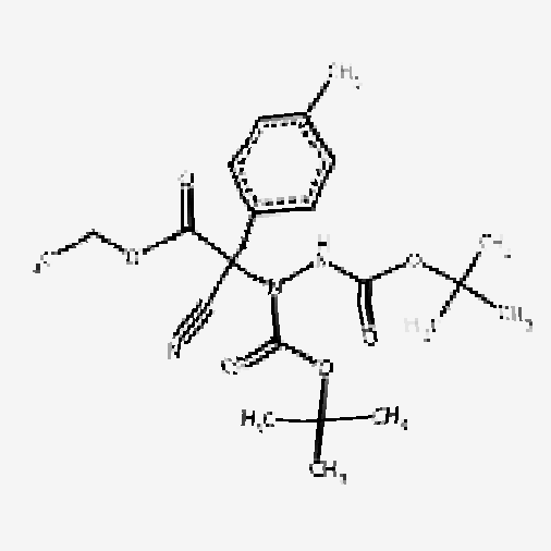 CCOC(=O)C(C#N)(c1ccc(C)cc1)N(NC(=O)OC(C)(C)C)C(=O)OC(C)(C)C